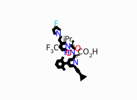 Cc1cccc(C)c1-c1cc(C#CC2CC2)nc([C@H](CC(=O)O)NC(=O)[C@H](CC(C)C)n2cc(CCN3CC[C@@H](F)C3)c(C(F)(F)F)cc2=O)c1